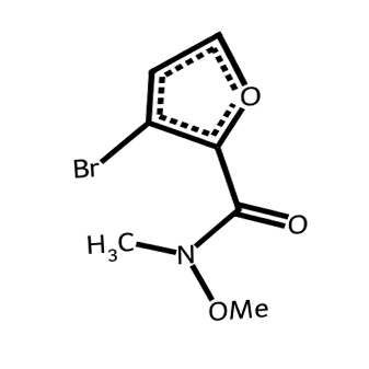 CON(C)C(=O)c1occc1Br